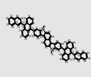 Cn1c2cc(-c3c4ccccc4c(-c4ccc5ccccc5c4)c4ccccc34)ccc2c2c3ccc4c(c3ccc21)c1ccc(-c2c3ccccc3c(-c3ccc5ccccc5c3)c3ccccc23)cc1n4C